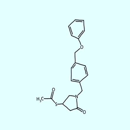 CC(=O)SC1CC(=O)N(Cc2ccc(COc3ccccc3)cc2)C1